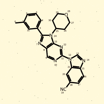 Cc1cccc(-c2nc3cnc(-n4cnc5ccc(C#N)cc54)nc3n2C2CCOCC2)c1